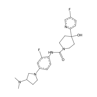 CN(C)C1CCN(c2ccc(NC(=O)N3CCC(O)(c4ccc(F)cn4)CC3)c(F)c2)C1